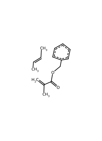 C=C(C)C(=O)OCc1ccccc1.CC=CC